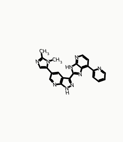 Cc1ncc(-c2cnc3[nH]nc(-c4nc5c(-c6ccccn6)ccnc5[nH]4)c3c2)n1C